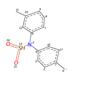 [CH2]c1ccc(N(c2cccc(C)c2)[SH](=O)=O)cc1